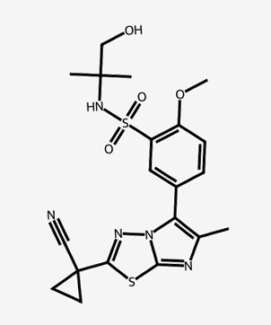 COc1ccc(-c2c(C)nc3sc(C4(C#N)CC4)nn23)cc1S(=O)(=O)NC(C)(C)CO